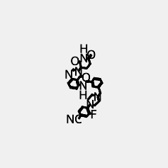 N#Cc1ccc(N2CCN(Cc3cccc(CNc4cccc5ncn(C6CCC(=O)NC6=O)c(=O)c45)c3)CC2)c(F)c1